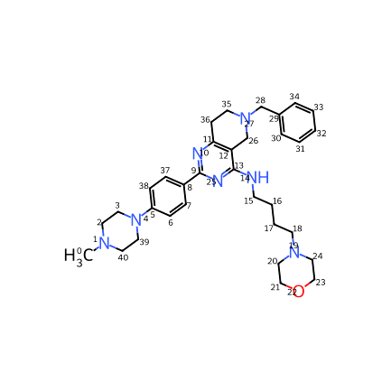 CN1CCN(c2ccc(-c3nc4c(c(NCCCCN5CCOCC5)n3)CN(Cc3ccccc3)CC4)cc2)CC1